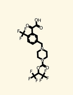 O=C(O)C(=O)c1cc(CN2CCN(C(=O)OC(C(F)(F)F)C(F)(F)F)CC2)ccc1C(F)(F)F